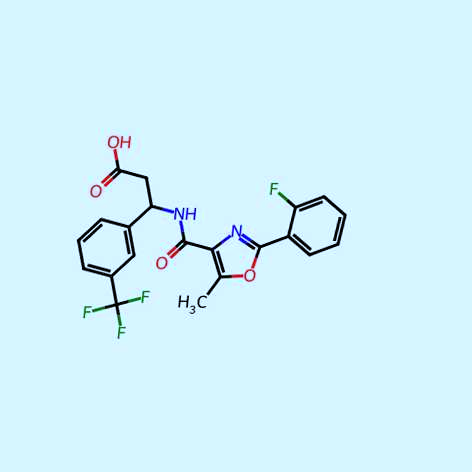 Cc1oc(-c2ccccc2F)nc1C(=O)NC(CC(=O)O)c1cccc(C(F)(F)F)c1